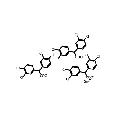 O=C([O-])C(c1ccc(Cl)c(Cl)c1)c1ccc(Cl)c(Cl)c1.O=C([O-])C(c1ccc(Cl)c(Cl)c1)c1ccc(Cl)c(Cl)c1.O=C([O-])C(c1ccc(Cl)c(Cl)c1)c1ccc(Cl)c(Cl)c1.[CH3][Sn+3]